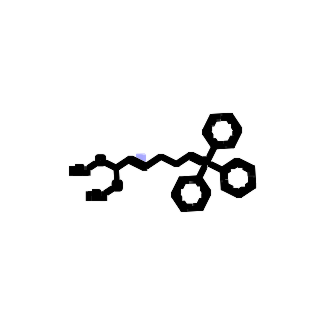 CCCCOC(/C=C/CCC=P(c1ccccc1)(c1ccccc1)c1ccccc1)OCCCC